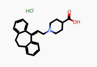 Cl.O=C(O)C1CCN(CC=C2c3ccccc3CCc3ccccc32)CC1